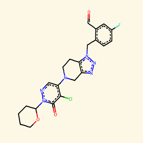 O=Cc1cc(F)ccc1Cn1nnc2c1CCN(c1cnn(C3CCCCO3)c(=O)c1Cl)C2